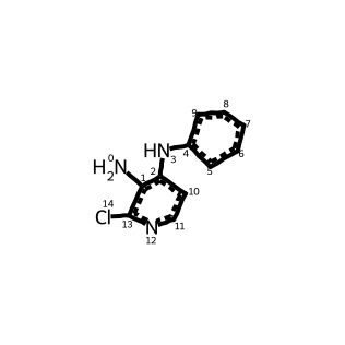 Nc1c(Nc2ccccc2)ccnc1Cl